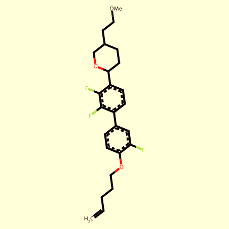 C=CCCCOc1ccc(-c2ccc(C3CCC(CCOC)CO3)c(F)c2F)cc1F